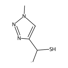 [CH2]C(S)c1cn(C)nn1